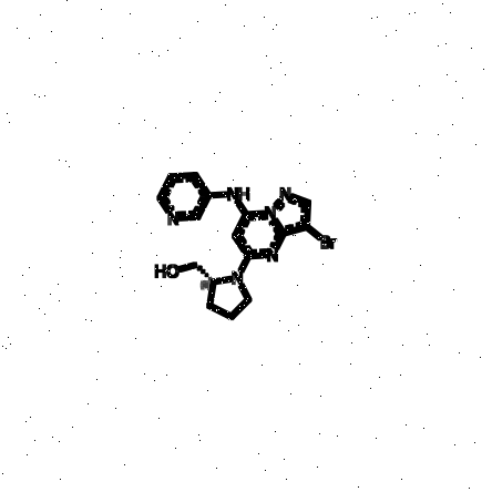 OC[C@H]1CCCN1c1cc(Nc2cccnc2)n2ncc(Br)c2n1